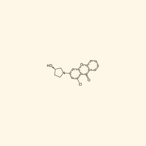 O=c1c2ccccc2oc2cc(N3CC[C@@H](O)C3)cc(Cl)c12